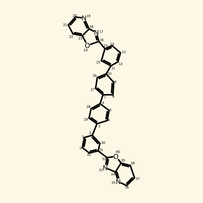 c1cc(-c2ccc(-c3ccc(-c4cccc(-c5nc6ncccc6o5)c4)cc3)cc2)cc(-c2nc3ncccc3o2)c1